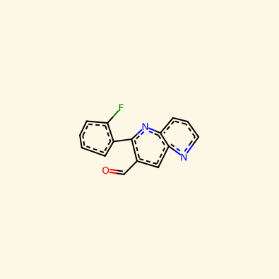 O=Cc1cc2ncccc2nc1-c1ccccc1F